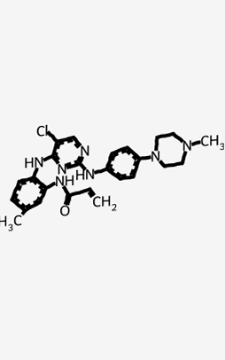 C=CC(=O)Nc1cc(C)ccc1Nc1nc(Nc2ccc(N3CCN(C)CC3)cc2)ncc1Cl